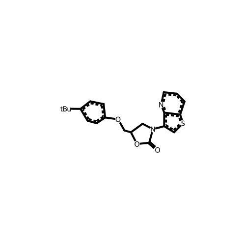 CC(C)(C)c1ccc(OCC2CN(c3csc4cccnc34)C(=O)O2)cc1